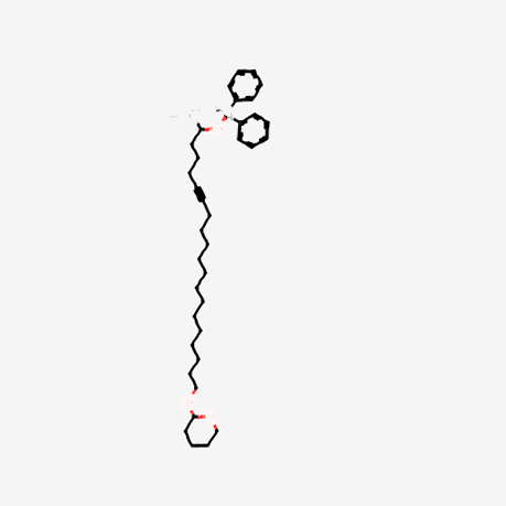 CC(CCCC#CCCCCCCCCCCCCCOC1CCCCO1)O[Si](c1ccccc1)(c1ccccc1)C(C)(C)C